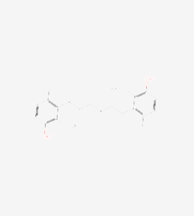 COc1c(O)ccc(C(=O)O)c1CCCCCCc1c(C(=O)O)ccc(O)c1OC